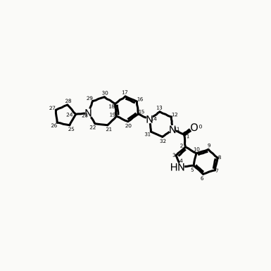 O=C(c1c[nH]c2ccccc12)N1CCN(c2ccc3c(c2)CCN(C2CCCC2)CC3)CC1